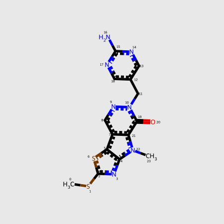 CSc1nc2c(s1)c1cnn(Cc3cnc(N)nc3)c(=O)c1n2C